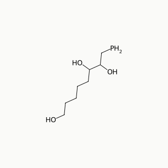 OCCCCCC(O)C(O)CP